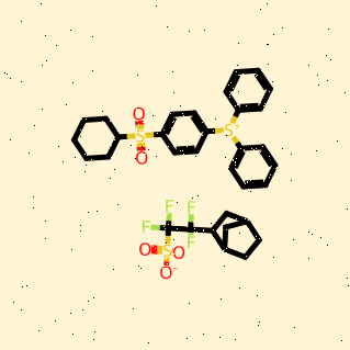 O=S(=O)([O-])C(F)(F)C(F)(F)C1CC2CCC1C2.O=S(=O)(c1ccc([S+](c2ccccc2)c2ccccc2)cc1)C1CCCCC1